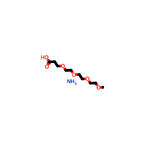 COCCOCCOCCOCCC(=O)O.N